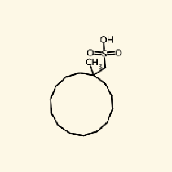 CC1(CS(=O)(=O)O)CCCCCCCCCCCCC1